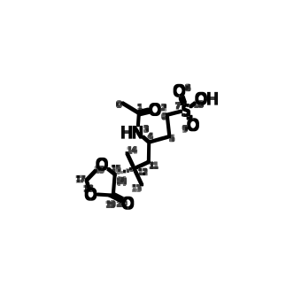 CC(=O)NC(CCS(=O)(=O)O)CC(C)(C)[C@H]1OCOC1=O